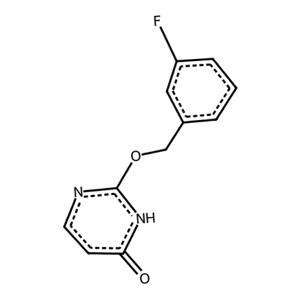 O=c1ccnc(OCc2cccc(F)c2)[nH]1